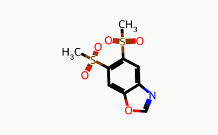 CS(=O)(=O)c1cc2ncoc2cc1S(C)(=O)=O